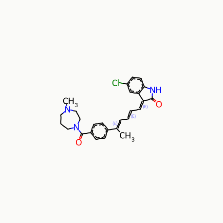 C\C(=C/C=C/C=C1/C(=O)Nc2ccc(Cl)cc21)c1ccc(C(=O)N2CCCN(C)CC2)cc1